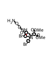 COC(=O)c1cc(C(=O)OC)cc(-c2nc(-c3ccc(Br)cc3)c(-c3ccc(Br)cc3)n2Cc2ccc(C(=O)NCCOCCOCCN)cc2)c1